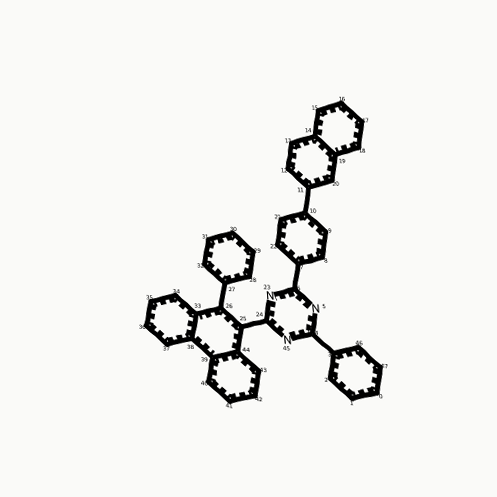 c1ccc(-c2nc(-c3ccc(-c4ccc5ccccc5c4)cc3)nc(-c3c(-c4ccccc4)c4ccccc4c4ccccc34)n2)cc1